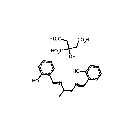 CC(CN=Cc1ccccc1O)N=Cc1ccccc1O.O=C(O)CC(O)(CC(=O)O)C(=O)O